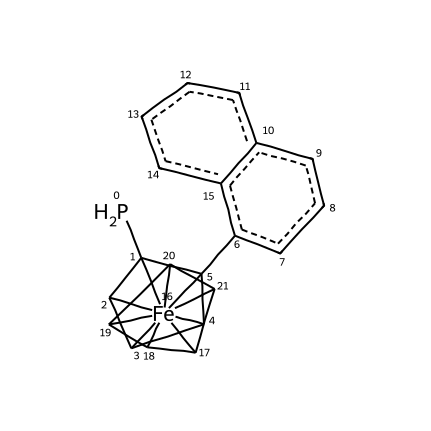 P[C]12[CH]3[CH]4[CH]5[C]1(c1cccc6ccccc16)[Fe]43521678[CH]2[CH]1[CH]6[CH]7[CH]28